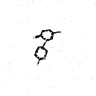 O=c1ccc(Cl)cn1-c1ccc(I)nc1